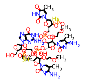 COCCOC1C(OP(=O)(O)OC[C@H]2O[C@@H](n3cc(C)c(=O)[nH]c3=O)CC2O[PH](=O)S)[C@@H](COP(=O)(O)OC2C(OCCOC)[C@H](n3cc(C)c(N)nc3=O)O[C@@H]2COP(=O)(S)OC2[C@@H](CO)OCC2(OCCOC)n2cnc3c(=O)[nH]c(N)nc32)O[C@H]1n1cc(C)c(N)nc1=O